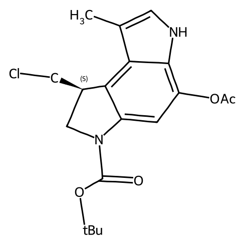 CC(=O)Oc1cc2c(c3c(C)c[nH]c13)[C@H](CCl)CN2C(=O)OC(C)(C)C